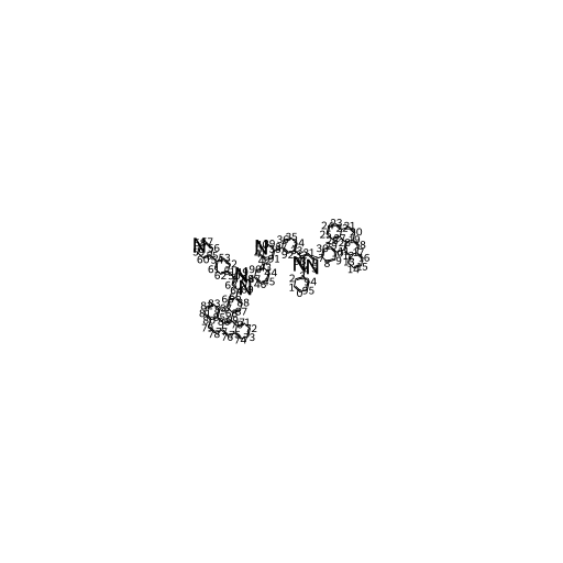 c1ccc(-c2nc(-c3ccc(-c4c5ccccc5cc5ccc6ccccc6c45)cc3)cc(-c3cccc(-c4cncc(-c5cccc(-c6nc(-c7ccc(-c8ccncc8)cc7)cc(-c7ccc(-c8c9ccccc9cc9ccc%10ccccc%10c89)cc7)n6)c5)c4)c3)n2)cc1